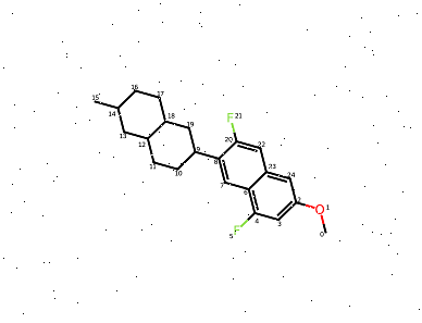 COc1cc(F)c2cc(C3CCC4CC(C)CCC4C3)c(F)cc2c1